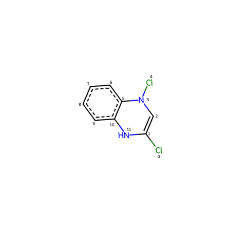 ClC1=CN(Cl)c2ccccc2N1